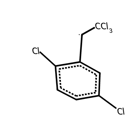 Clc1ccc(Cl)c([CH]C(Cl)(Cl)Cl)c1